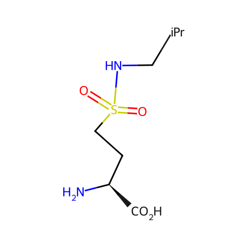 CC(C)CNS(=O)(=O)CC[C@H](N)C(=O)O